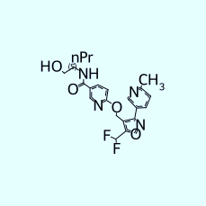 CCC[C@@H](CO)NC(=O)c1ccc(OCc2c(-c3ccc(C)nc3)noc2C(F)F)nc1